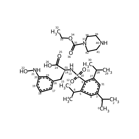 CC(C)c1cc(C(C)C)c(S(=O)(=O)N[C@@H](Cc2cccc(NO)c2)C(=O)O)c(C(C)C)c1.CCOC(=O)N1CCNCC1